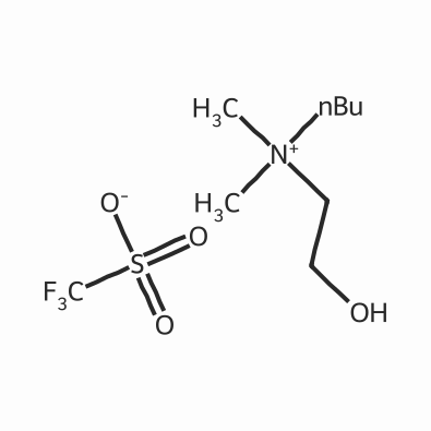 CCCC[N+](C)(C)CCO.O=S(=O)([O-])C(F)(F)F